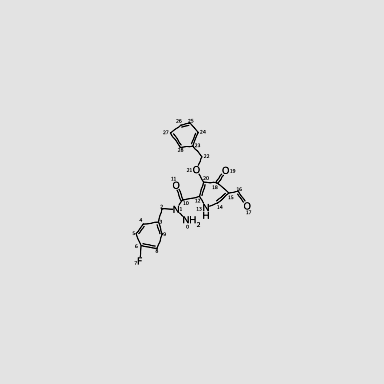 NN(Cc1ccc(F)cc1)C(=O)c1[nH]cc(C=O)c(=O)c1OCc1ccccc1